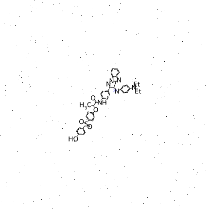 CCN(CC)c1ccc(/N=C2/C(c3ccc(NC(=O)C(C)Oc4ccc(S(=O)(=O)c5ccc(O)cc5)cc4)cc3)=Nn3c2nc2ccccc23)cc1